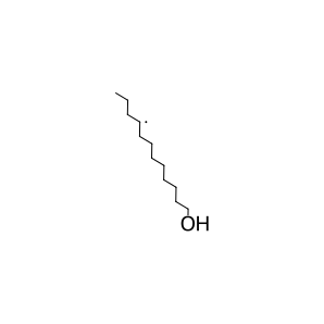 CCC[CH]CCCCCCCCO